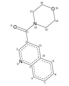 O=C(c1cnc2ccccc2c1)N1CCOCC1